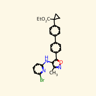 CCOC(=O)C1(c2ccc(-c3ccc(-c4onc(C)c4Nc4cccc(Br)n4)cc3)cc2)CC1